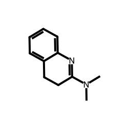 CN(C)C1=Nc2ccccc2CC1